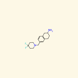 NC1CCc2cc(CN3CCC(F)(F)CC3)ccc2C1